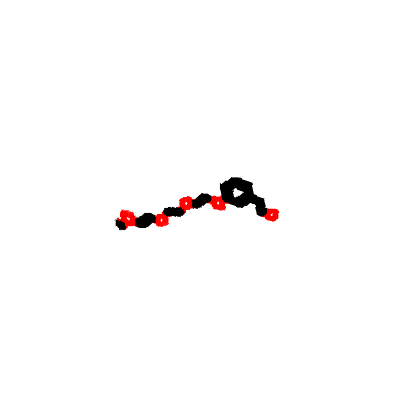 COCCOCCOCCOc1cccc(CC=O)c1